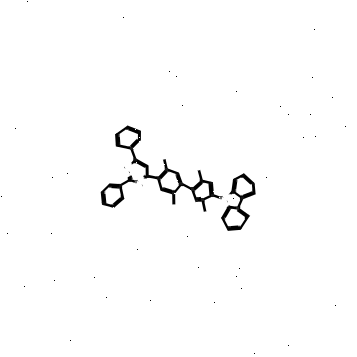 Cc1cc(-c2cc(C)c(-n3c4ccccc4c4ccccc43)cc2C)c(C)cc1-c1cc(-c2ccccc2)nc(-c2ccccc2)n1